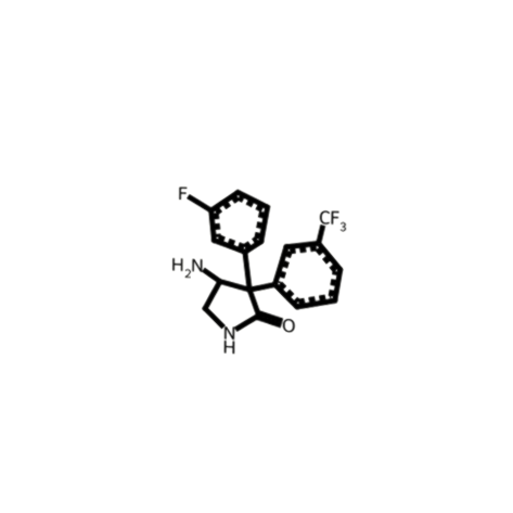 NC1CNC(=O)C1(c1cccc(F)c1)c1cccc(C(F)(F)F)c1